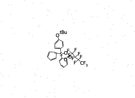 CC(C)(C)Oc1ccc(S(OS(=O)(=O)C(F)(F)C(F)(F)C(F)(F)C(F)(F)F)(c2ccccc2)c2ccccc2)cc1